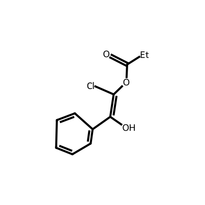 CCC(=O)O/C(Cl)=C(\O)c1ccccc1